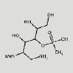 CNC(CN)C(O)C(OP(C)(=O)O)C(O)CO